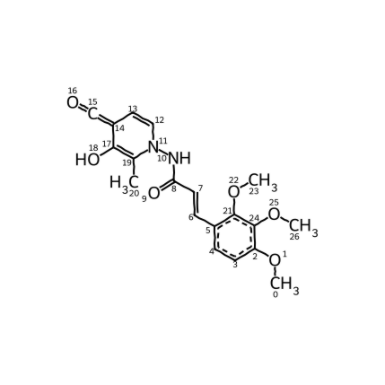 COc1ccc(/C=C/C(=O)NN2C=CC(=C=O)C(O)=C2C)c(OC)c1OC